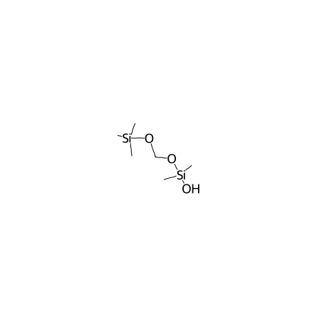 C[Si](C)(C)OCO[Si](C)(C)O